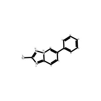 Clc1nc2ccc(-c3ccccc3)cn2n1